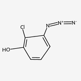 [N-]=[N+]=Nc1cccc(O)c1Cl